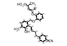 Cc1ncc(COc2ccccc2O/[P+]([O-])=N/C(C)C(=O)O)c(/C=N/CCc2ccc(C#N)cc2)c1O